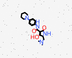 CN(C)CC1NC(=O)C(C(=O)Nc2ccc(N3CCCCC3)cc2)=C1O